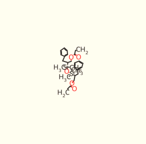 C=CC(=O)OCC(Cc1ccccc1)[Si](C)(C)O[Si](C)(C)C(COC(=O)C=C)Cc1ccccc1